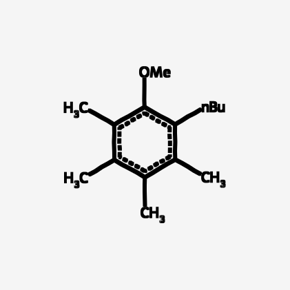 CCCCc1c(C)c(C)c(C)c(C)c1OC